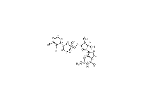 C[C@@]1(O)[C@H](O)[C@@H](COP2(=O)OCC[C@H](c3cccc(F)c3F)O2)O[C@H]1n1ccc2c(=O)[nH]c(N)nc21